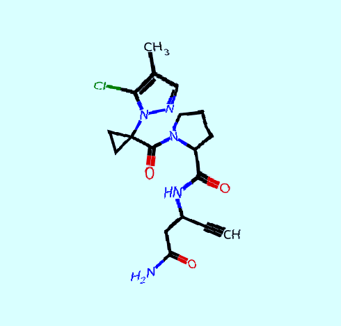 C#CC(CC(N)=O)NC(=O)C1CCCN1C(=O)C1(n2ncc(C)c2Cl)CC1